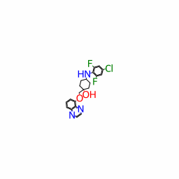 OC1(COc2cccc3nccnc23)CCC(Nc2c(F)cc(Cl)cc2F)CC1